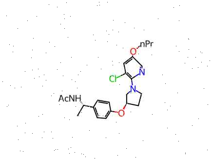 CCCOc1cnc(N2CC[C@@H](Oc3ccc([C@H](C)NC(C)=O)cc3)C2)c(Cl)c1